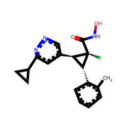 Cc1ccccc1[C@@H]1[C@@H](c2cnnc(C3CC3)c2)[C@]1(F)C(=O)NO